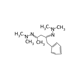 CC(CC(Cc1ccccc1)=NN(C)C)=NN(C)C